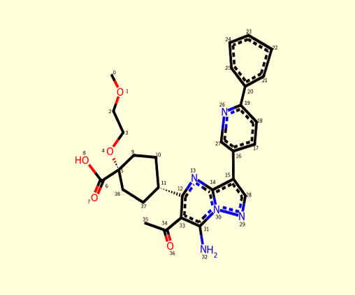 COCCO[C@]1(C(=O)O)CC[C@H](c2nc3c(-c4ccc(-c5ccccc5)nc4)cnn3c(N)c2C(C)=O)CC1